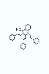 Oc1c(/C=C/c2ccccc2)c(/C=C/c2ccccc2)c(/C=C/c2ccccc2)c2ccccc12